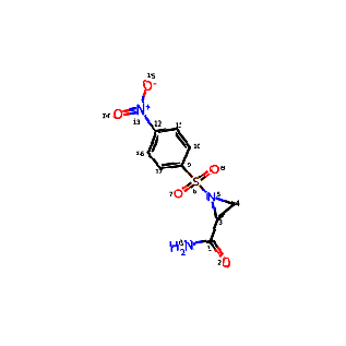 NC(=O)C1CN1S(=O)(=O)c1ccc([N+](=O)[O-])cc1